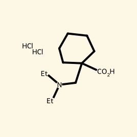 CCN(CC)CC1(C(=O)O)CCCCC1.Cl.Cl